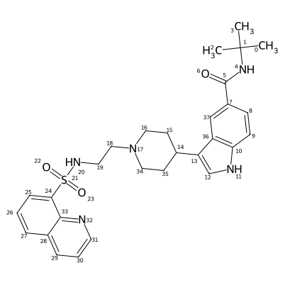 CC(C)(C)NC(=O)c1ccc2[nH]cc(C3CCN(CCNS(=O)(=O)c4cccc5cccnc45)CC3)c2c1